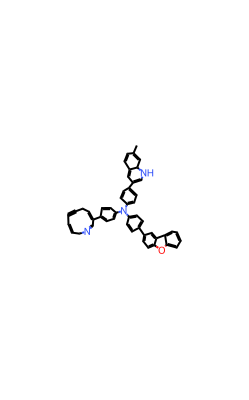 CC1=CC2NC=C(c3ccc(N(c4ccc(C5=C/CC#C/C=C\C/N=C\5)cc4)c4ccc(-c5ccc6oc7ccccc7c6c5)cc4)cc3)C=C2C=C1